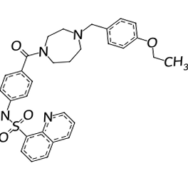 CCOc1ccc(CN2CCCN(C(=O)c3ccc(NS(=O)(=O)c4cccc5cccnc45)cc3)CC2)cc1